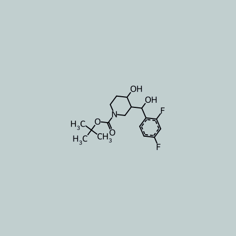 CC(C)(C)OC(=O)N1CCC(O)C(C(O)c2ccc(F)cc2F)C1